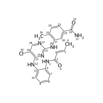 CC=CC(=O)Nc1ccccc1Nc1nc(Nc2cc(C(N)=O)ccc2C)ncc1Cl